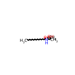 CCCCCCCCCCCCCCCC(=O)NC(CO)CC(C)C